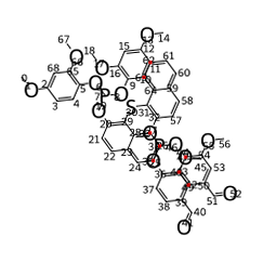 COc1ccc(OP(Oc2ccc(OC)cc2OC)Oc2ccc3ccccc3c2Sc2c(OP(Oc3ccc(C=O)cc3OC)Oc3ccc(C=O)cc3OC)ccc3ccccc23)c(OC)c1